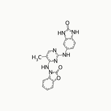 Cc1cnc(Nc2ccc3[nH]c(=O)[nH]c3c2)nc1Nn1c(=O)oc2ccccc21